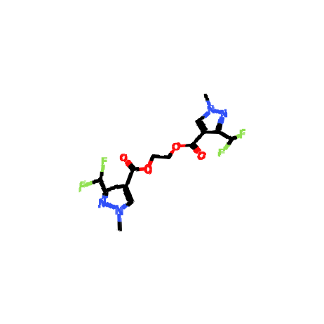 Cn1cc(C(=O)OCCOC(=O)c2cn(C)nc2C(F)F)c(C(F)F)n1